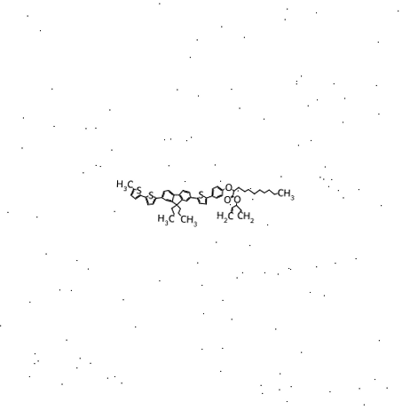 C=CC(C=C)OC(=O)C(CCCCCCCCC)Oc1ccc(-c2ccc(-c3ccc4c(c3)C(CCC)(CCC)c3cc(-c5ccc(-c6ccc(C)s6)s5)ccc3-4)s2)cc1